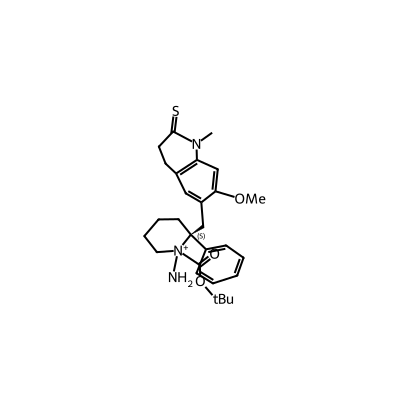 COc1cc2c(cc1C[C@]1(c3ccccc3)CCCC[N+]1(N)C(=O)OC(C)(C)C)CCC(=S)N2C